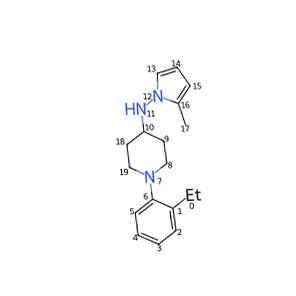 CCc1ccccc1N1CCC(Nn2cccc2C)CC1